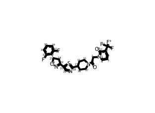 O=C(Cn1cccc(C(F)(F)F)c1=O)N1CCC(c2ncc(C3=NO[C@H](c4c(F)cccc4F)C3)s2)CC1